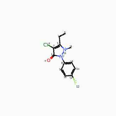 CCc1c(Cl)c(=O)n(-c2ccc(F)cc2)n1C